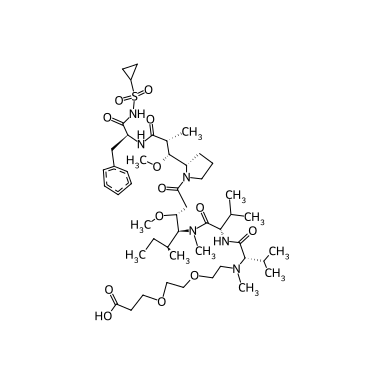 CC[C@H](C)[C@@H]([C@@H](CC(=O)N1CCC[C@H]1[C@H](OC)[C@@H](C)C(=O)N[C@@H](Cc1ccccc1)C(=O)NS(=O)(=O)C1CC1)OC)N(C)C(=O)[C@@H](NC(=O)[C@H](C(C)C)N(C)CCOCCOCCC(=O)O)C(C)C